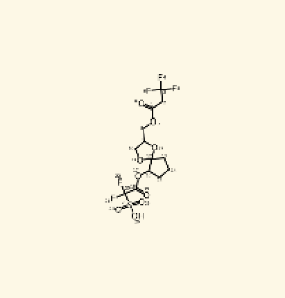 O=C(CC(F)(F)F)OCC1COC2(CCCC2OC(=O)C(F)(F)S(=O)(=O)O)O1